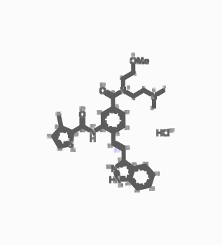 COCCN(CCN(C)C)C(=O)c1ccc(/C=C/c2n[nH]c3ccccc23)c(NC(=O)c2sccc2C)c1.Cl